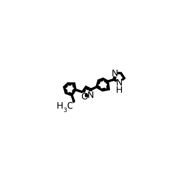 CCc1ccccc1-c1cc(-c2ccc(C3=NCCN3)cc2)no1